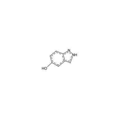 Oc1ccc2n[nH][c]c2c1